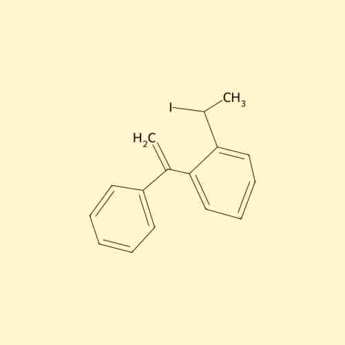 C=C(c1ccccc1)c1ccccc1C(C)I